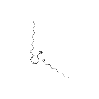 CCCCCCCCOc1cccc(OCCCCCCCC)c1O